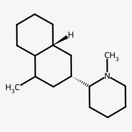 CC1C[C@@H](C2CCCCN2C)C[C@H]2CCCCC12